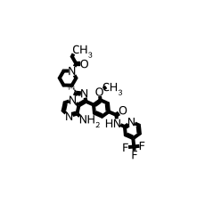 CCC(=O)N1CCC[C@@H](c2nc(-c3ccc(C(=O)Nc4cc(C(F)(F)F)ccn4)cc3OC)c3c(N)nccn23)C1